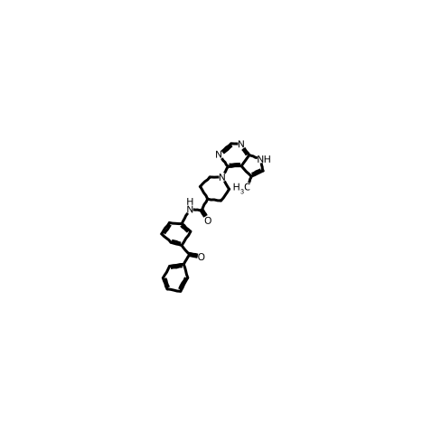 Cc1c[nH]c2ncnc(N3CCC(C(=O)Nc4cccc(C(=O)c5ccccc5)c4)CC3)c12